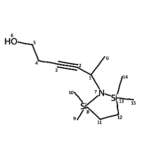 CC(C#CCCO)N1[Si](C)(C)CC[Si]1(C)C